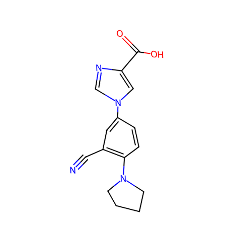 N#Cc1cc(-n2cnc(C(=O)O)c2)ccc1N1CCCC1